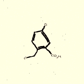 [O]Cc1ccc(Cl)cc1C(=O)O